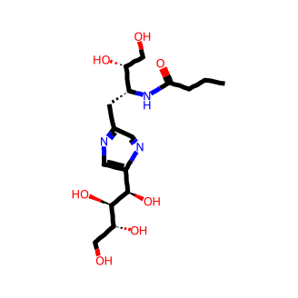 CCCC(=O)N[C@H](Cc1cnc([C@@H](O)[C@H](O)[C@H](O)CO)cn1)[C@H](O)CO